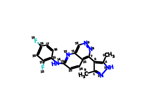 Cc1n[nH]c(C)c1-c1nncc2nc(Nc3ccc(F)cc3F)ccc12